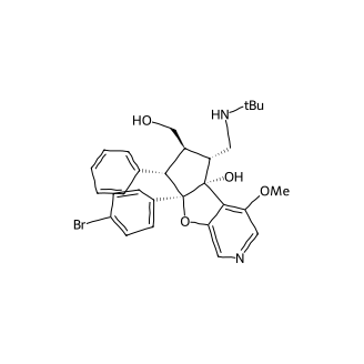 COc1cncc2c1[C@]1(O)[C@@H](CNC(C)(C)C)[C@H](CO)[C@@H](c3ccccc3)[C@]1(c1ccc(Br)cc1)O2